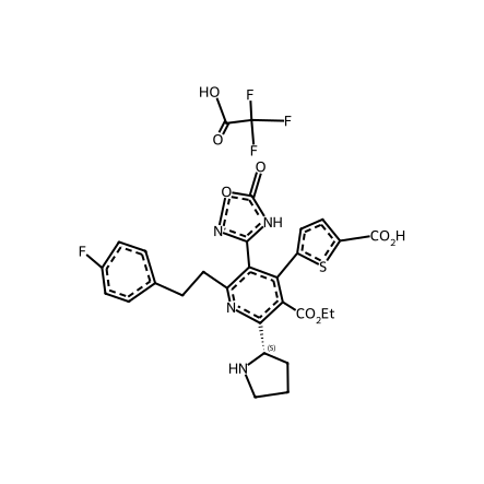 CCOC(=O)c1c([C@@H]2CCCN2)nc(CCc2ccc(F)cc2)c(-c2noc(=O)[nH]2)c1-c1ccc(C(=O)O)s1.O=C(O)C(F)(F)F